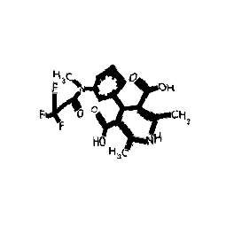 CC1=C(C(=O)O)C(c2cccc(N(C)C(=O)C(F)(F)F)c2)C(C(=O)O)=C(C)N1